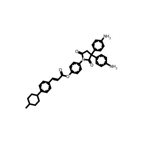 CC1CCC(c2ccc(/C=C/C(=O)Oc3ccc(N4C(=O)CC(c5ccc(N)cc5)(c5ccc(N)cc5)C4=O)cc3)cc2)CC1